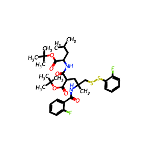 CC(C)CC(NC(=O)C(CC(C)(CSSc1ccccc1F)NC(=O)c1ccccc1F)C(=O)OC(C)(C)C)C(=O)OC(C)(C)C